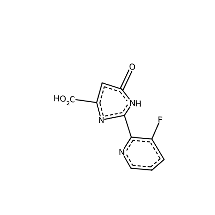 O=C(O)c1cc(=O)[nH]c(-c2ncccc2F)n1